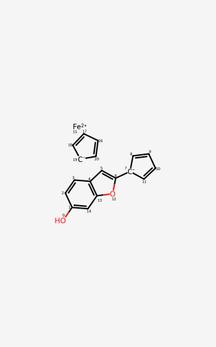 Oc1ccc2cc(-[c-]3cccc3)oc2c1.[Fe+2].c1cc[cH-]c1